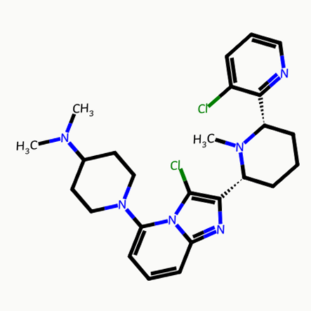 CN(C)C1CCN(c2cccc3nc([C@H]4CCC[C@@H](c5ncccc5Cl)N4C)c(Cl)n23)CC1